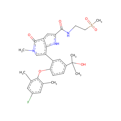 Cc1cc(F)cc(C)c1Oc1ccc(C(C)(C)O)cc1-c1cn(C)c(=O)c2cc(C(=O)NCCS(C)(=O)=O)[nH]c12